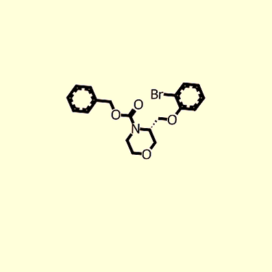 O=C(OCc1ccccc1)N1CCOC[C@H]1COc1ccccc1Br